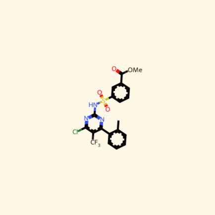 COC(=O)c1cccc(S(=O)(=O)Nc2nc(Cl)c(C(F)(F)F)c(-c3ccccc3C)n2)c1